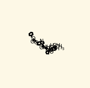 CC1(C)[C@H]2CC3OB(C4CCCN4C(=O)CNC(=O)c4ccnc5cc(OCC(=O)OCc6ccccc6)ccc45)O[C@@]3(C)[C@@H]1C2